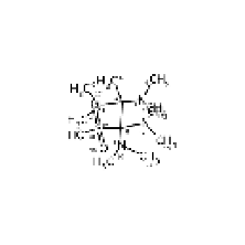 CN(C)C(C)(N(C)C)C(N(C)C)(N(C)C)S(=O)(=O)O